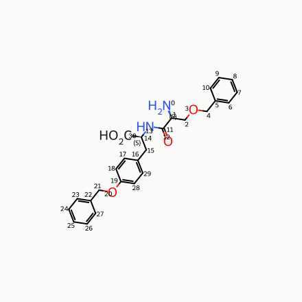 N[C@@H](COCc1ccccc1)C(=O)N[C@@H](Cc1ccc(OCc2ccccc2)cc1)C(=O)O